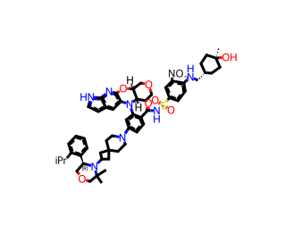 CC(C)c1ccccc1[C@@H]1COCC(C)(C)N1C1CC2(CCN(c3ccc(C(=O)NS(=O)(=O)c4ccc(NC[C@H]5CC[C@](C)(O)CC5)c([N+](=O)[O-])c4)c(N4c5cc6cc[nH]c6nc5O[C@H]5COCC[C@@H]54)c3)CC2)C1